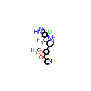 COc1cc(C2C=C(C)C(Nc3ccc4[nH]ncc4c3Cl)=NCC2)ccc1C(=O)c1cccnc1